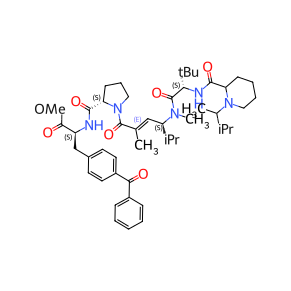 COC(=O)[C@H](Cc1ccc(C(=O)c2ccccc2)cc1)NC(=O)[C@@H]1CCCN1C(=O)/C(C)=C/[C@H](C(C)C)N(C)C(=O)[C@@H](NC(=O)C1CCCCN1C(C)C(C)C)C(C)(C)C